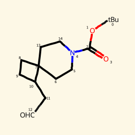 CC(C)(C)OC(=O)N1CCC2(CCC2CC=O)CC1